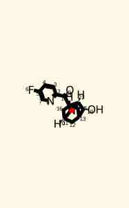 O=C(c1ccc(F)cn1)N1C[C@H]2CC3C[C@@H](C2)[C@H]1[C@@H]3O